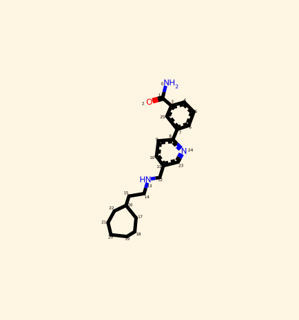 NC(=O)c1cccc(-c2ccc(CNCCC3CCCCCC3)cn2)c1